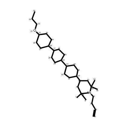 C=CCCN1C(C)(C)CC(C2CCC(C3CCC(C4CCC(OCCC)CC4)CC3)CC2)CC1(C)C